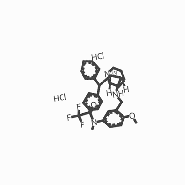 COc1ccc(N(C)C(=O)C(F)(F)F)cc1CN[C@H]1C2CCN(CC2)[C@H]1C(c1ccccc1)c1ccccc1.Cl.Cl